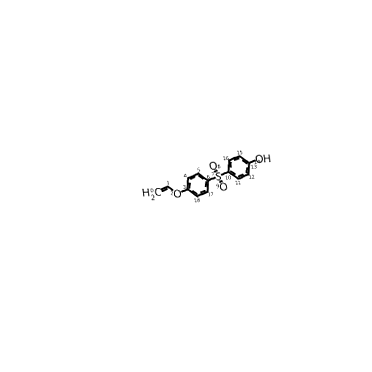 C=COc1ccc(S(=O)(=O)c2ccc(O)cc2)cc1